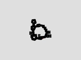 OC1NCCCCOCc2cc(ccc2N2CCCC2)Nc2nccc(n2)-c2ccc1cc2F